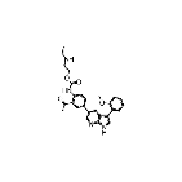 CCNCCOC(=O)Nc1ccc(-c2cnc3[nH]cc(-c4ccccc4OC)c3c2)cc1C(C)=O